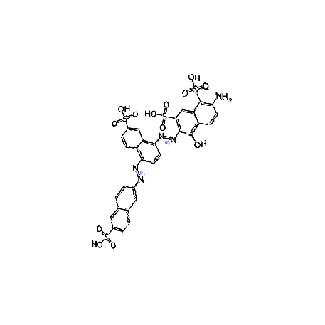 Nc1ccc2c(O)c(/N=N/c3ccc(/N=N/c4ccc5cc(S(=O)(=O)O)ccc5c4)c4ccc(S(=O)(=O)O)cc34)c(S(=O)(=O)O)cc2c1S(=O)(=O)O